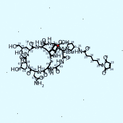 CC[C@H](C)[C@@H]1NC(=O)CNC(=O)[C@H]2Cc3c([nH]c4c(CN5CC[C@H](CNC(=O)CCCCCN6C(=O)C=CC6=O)C5)c(O)ccc34)SC[C@H](NC(=O)CNC1=O)C(=O)N[C@@H](CC(N)=O)C(=O)N1C[C@H](O)C[C@H]1C(=O)N[C@@H]([C@@H](C)[C@@H](O)CO)C(=O)N2